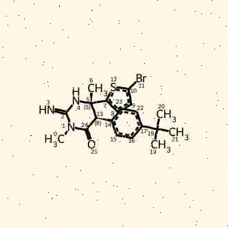 CN1C(=N)N[C@](C)(c2ccc(Br)s2)[C@@H](c2ccc(C(C)(C)C)cc2)C1=O